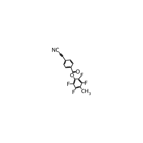 Cc1c(F)c(F)c(OC(=O)c2ccc(C#CC#N)cc2)c(F)c1F